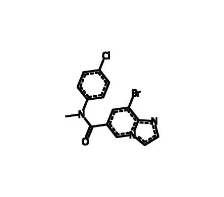 CN(C(=O)c1cc(Br)c2nccn2c1)c1ccc(Cl)cc1